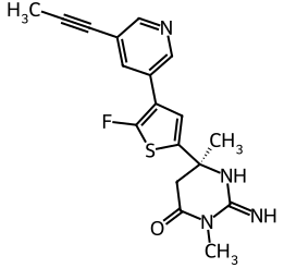 CC#Cc1cncc(-c2cc([C@]3(C)CC(=O)N(C)C(=N)N3)sc2F)c1